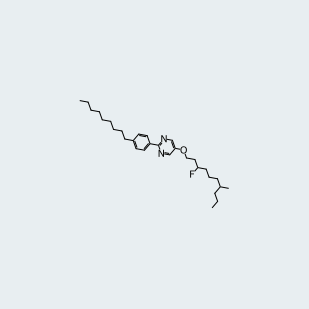 CCCCCCCCCc1ccc(-c2ncc(OCCC(F)CCCC(C)CCC)cn2)cc1